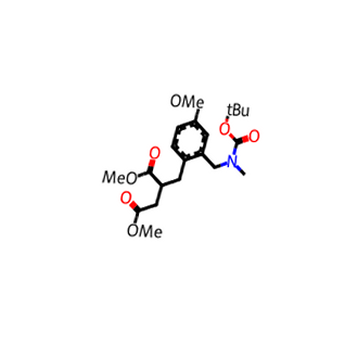 COC(=O)CC(Cc1ccc(OC)cc1CN(C)C(=O)OC(C)(C)C)C(=O)OC